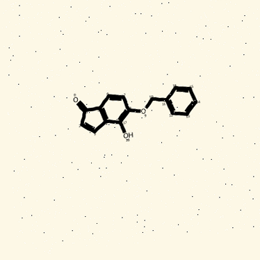 O=C1C=Cc2c1ccc(OCc1ccccc1)c2O